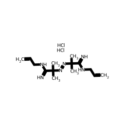 C=CCNC(=N)C(C)(C)N=NC(C)(C)C(=N)NCC=C.Cl.Cl